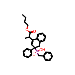 CCCCOC(=O)C(C)C1=CC(c2ccccc2)(P(=O)(O)Cc2ccccc2)Cc2ccccc21